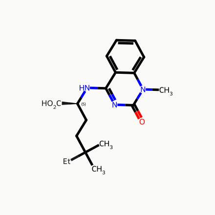 CCC(C)(C)CC[C@H](Nc1nc(=O)n(C)c2ccccc12)C(=O)O